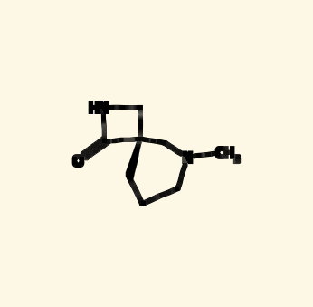 CN1CCC[C@@]2(CNC2=O)C1